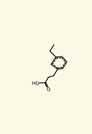 CCc1[c]ccc(CCC(=O)O)c1